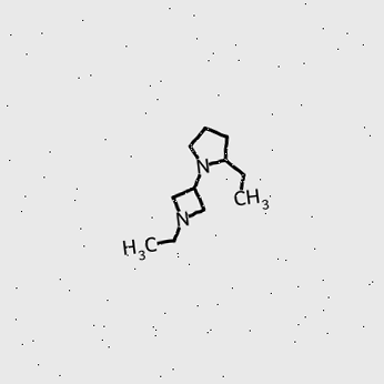 CCC1CCCN1C1CN(CC)C1